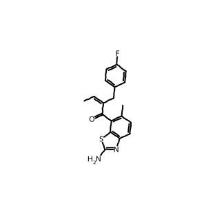 C/C=C(/Cc1ccc(F)cc1)C(=O)c1c(C)ccc2nc(N)sc12